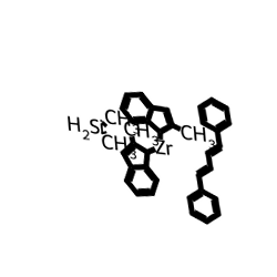 C(C=Cc1ccccc1)=Cc1ccccc1.CC1=Cc2ccccc2[CH]1[Zr][CH]1C(C)=Cc2ccccc21.C[SiH2]C